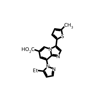 CCc1ccnn1-c1cc(C(=O)O)cn2c(-c3ccc(C)s3)cnc12